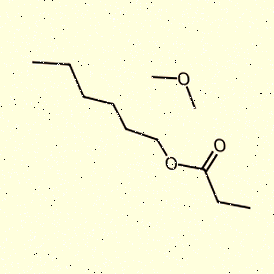 CCCCCCOC(=O)CC.COC